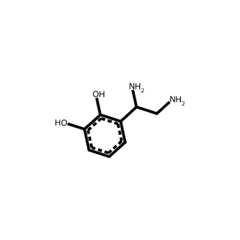 NCC(N)c1cccc(O)c1O